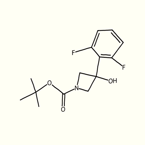 CC(C)(C)OC(=O)N1CC(O)(c2c(F)cccc2F)C1